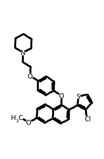 COc1ccc2c(Oc3ccc(OCCN4CCCCC4)cc3)c(-c3sccc3Cl)ccc2c1